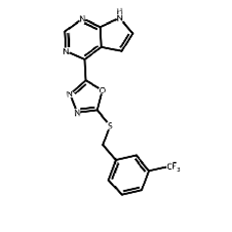 FC(F)(F)c1cccc(CSc2nnc(-c3ncnc4[nH]ccc34)o2)c1